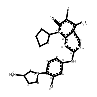 Cc1c(F)c(=O)n(C2CCCC2)c2nc(Nc3ccc(N4CCC(N)C4)c(Cl)c3)ncc12